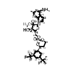 C[C@@]1(O)[C@H](O)[C@@H](COP2(=O)OCC[C@@H](c3cc(C(F)(F)F)cc(C(F)(F)F)c3)O2)O[C@H]1n1ccc2c(N)ncnc21